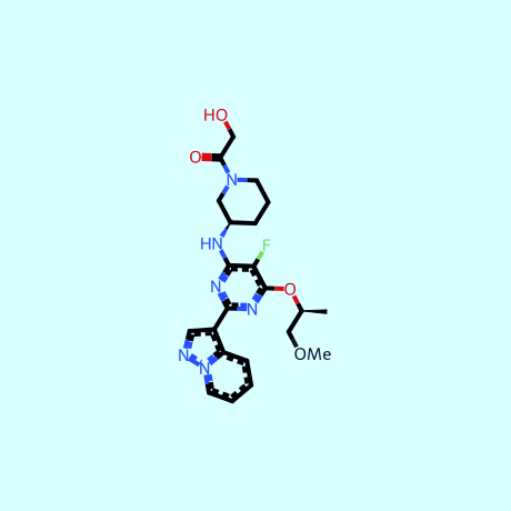 COC[C@H](C)Oc1nc(-c2cnn3ccccc23)nc(N[C@@H]2CCCN(C(=O)CO)C2)c1F